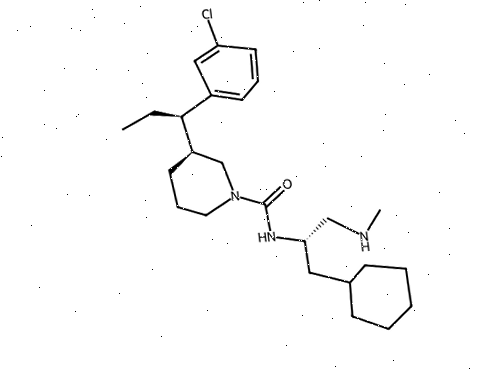 CC[C@@H](c1cccc(Cl)c1)[C@@H]1CCCN(C(=O)N[C@H](CNC)CC2CCCCC2)C1